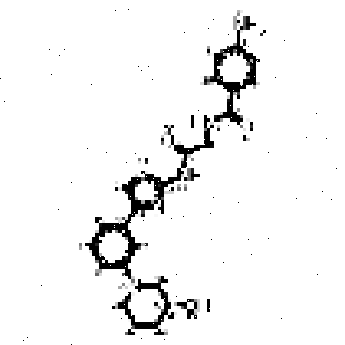 Nc1ccc(C(=O)NCC(=O)Nc2nc(-c3cccc(N4CCC[C@H](O)C4)c3)cs2)cc1